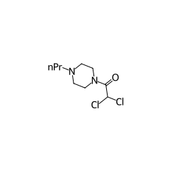 CCCN1CCN(C(=O)C(Cl)Cl)CC1